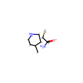 CC1CCNCC1.NC(=O)CBr